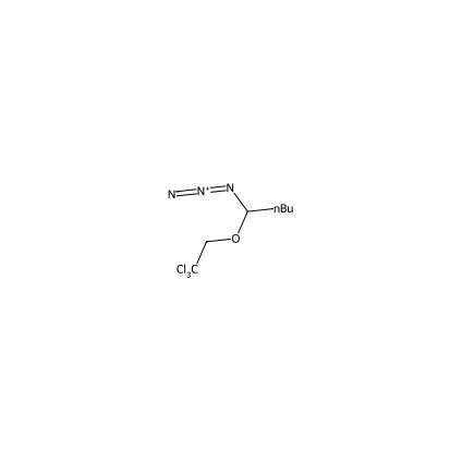 CCCCC(N=[N+]=[N-])OCC(Cl)(Cl)Cl